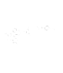 C=Cc1cccc(N2CCC(C(=C)NCCCCN3CCN(c4ccc(C)cc4)CC3)CC2)c1C(=C)N(C)C1CCC(=O)NC1=C